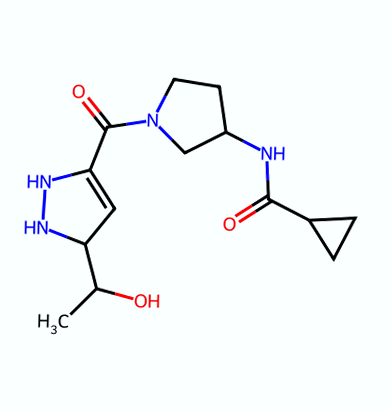 CC(O)C1C=C(C(=O)N2CCC(NC(=O)C3CC3)C2)NN1